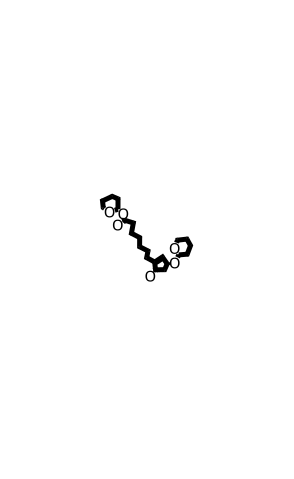 O=C(CCCCCCC1=C[C@@H](OC2CCCCO2)CC1=O)OC1CCCCO1